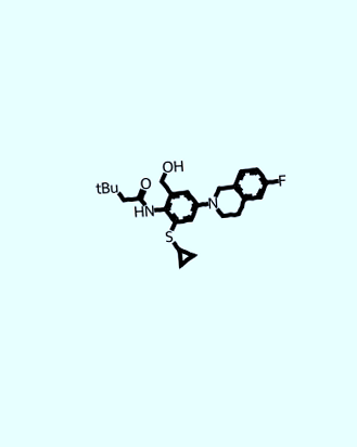 CC(C)(C)CC(=O)Nc1c(CO)cc(N2CCc3cc(F)ccc3C2)cc1SC1CC1